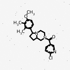 COc1ccc(C2CCC3CN(C(=O)c4ccc(Cl)nc4)CCN32)c(C)c1C